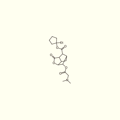 CCC1(OC(=O)C2C3CC4C(OC(=O)C42)C3OC(=O)CN(C)C)CCCC1